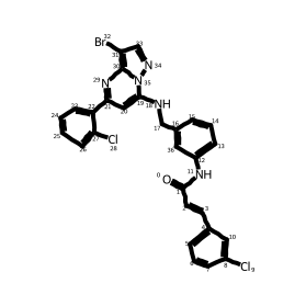 O=C(/C=C/c1cccc(Cl)c1)Nc1cccc(CNc2cc(-c3ccccc3Cl)nc3c(Br)cnn23)c1